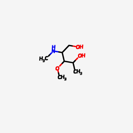 CNC(CO)C(OC)C(C)O